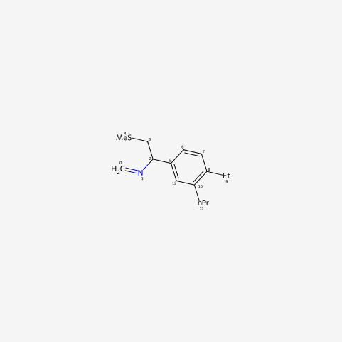 C=NC(CSC)c1ccc(CC)c(CCC)c1